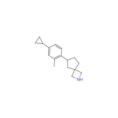 Cc1cc(C2CC2)ccc1C1CCC2(CNC2)C1